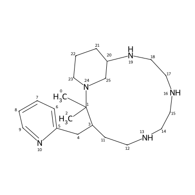 CC1(C)C(Cc2ccccn2)CCNCCNCCNC2CCCN1C2